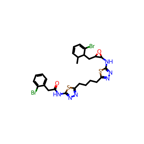 CC1C=CC=C(Br)C1CC1OC1Nc1nnc(CCCCc2nnc(NC(=O)Cc3ccccc3Br)s2)s1